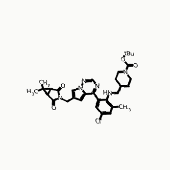 Cc1cc(Cl)cc(-c2ncnn3cc(CN4C(=O)C5C(C4=O)C5(C)C)cc23)c1NCC1CCN(C(=O)OC(C)(C)C)CC1